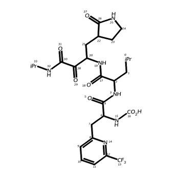 CC(C)CC(NC(=O)C(Cc1cccc(C(F)(F)F)n1)NC(=O)O)C(=O)NC(CC1CCNC1=O)C(=O)C(=O)NC(C)C